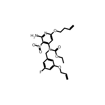 C=CCCOc1cc(N(Cc2cc(F)cc(OCC=C)c2)C(=O)OCC)c([N+](=O)[O-])c(N)n1